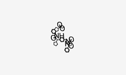 COC(=O)C1Cc2cccc(NC(=O)C(c3ccc(CN4N=C(c5ccccc5)OCC4=O)cc3)C3CCCC3)c2C1